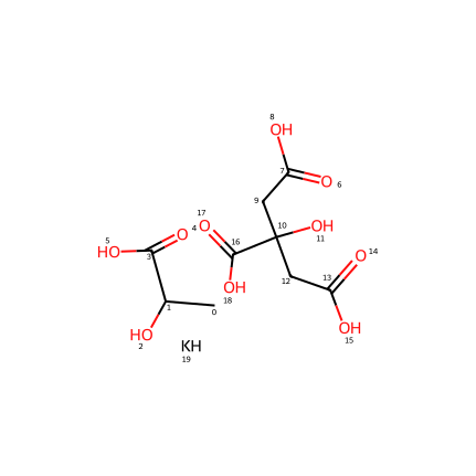 CC(O)C(=O)O.O=C(O)CC(O)(CC(=O)O)C(=O)O.[KH]